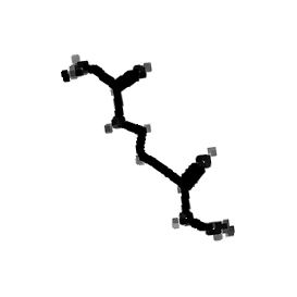 COC(=O)CCOC(=O)O